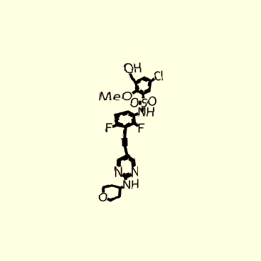 COc1c(CO)cc(Cl)cc1S(=O)(=O)Nc1ccc(F)c(C#Cc2cnc(NC3CCOCC3)nc2)c1F